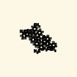 Cc1ccc(N(c2ccc3c(c2)C(C)(C)c2ccccc2-3)c2cc3c(c4ccccc24)-c2c(cc(N(c4ccc(C)cc4)c4ccc5c(c4)C(C)(C)c4ccccc4-5)c4c2oc2ccccc24)C3(c2ccccc2)c2ccccc2)cc1